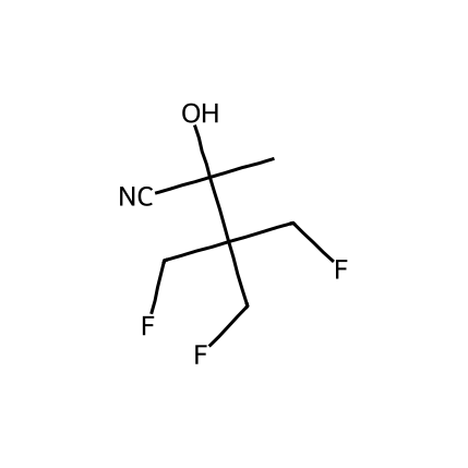 CC(O)(C#N)C(CF)(CF)CF